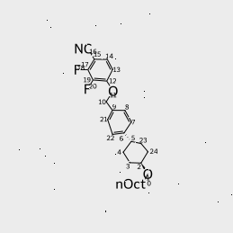 CCCCCCCCO[C@H]1CC[C@H](c2ccc(COc3ccc(C#N)c(F)c3F)cc2)CC1